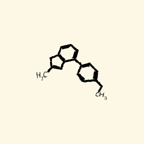 CCc1ccc(-c2cccc3c2C=C(C)[CH]3)cc1